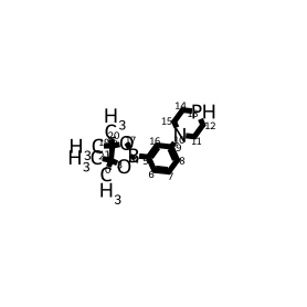 CC1(C)OB(c2cccc(N3CCPCC3)c2)OC1(C)C